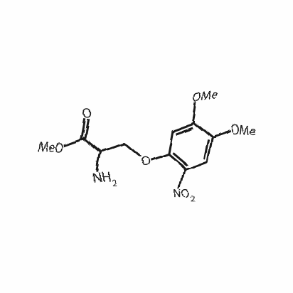 COC(=O)C(N)COc1cc(OC)c(OC)cc1[N+](=O)[O-]